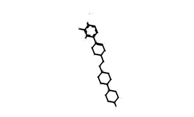 CCCC1CCC(C2CCC(CCC3CC=C(c4ccc(OCC)c(Cl)c4F)CC3)CC2)CC1